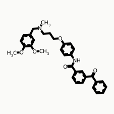 COc1ccc(CN(C)CCCOc2ccc(NC(=O)c3cccc(C(=O)c4ccccc4)c3)cc2)cc1OC